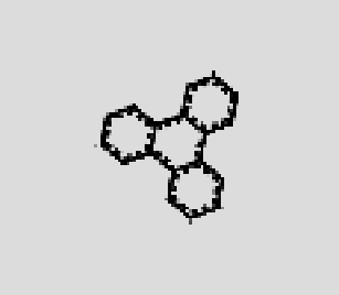 [c]1[c]cc2c(c1)c1c[c][c]cc1c1c[c][c]cc21